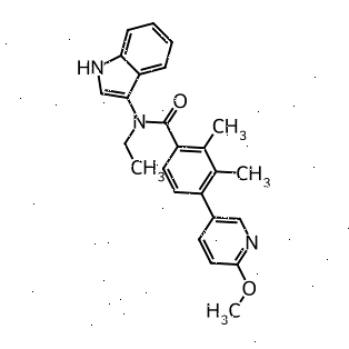 CCN(C(=O)c1ccc(-c2ccc(OC)nc2)c(C)c1C)c1c[nH]c2ccccc12